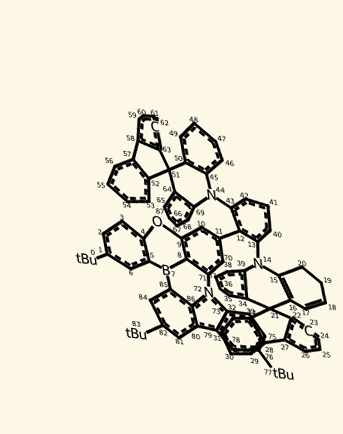 CC(C)(C)c1ccc2c(c1)B1c3c(cc(-c4c(N5C6=C(C=CCC6)C6(c7ccccc7-c7ccccc76)c6ccccc65)cccc4N4c5ccccc5C5(c6ccccc6-c6ccccc65)c5ccccc54)cc3-n3c4ccc(C(C)(C)C)cc4c4cc(C(C)(C)C)cc1c43)O2